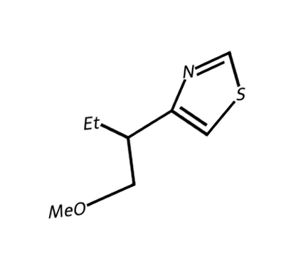 CCC(COC)c1cscn1